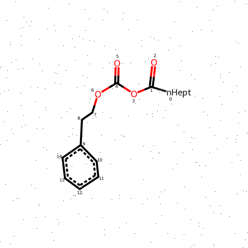 CCCCCCCC(=O)OC(=O)OCCc1ccccc1